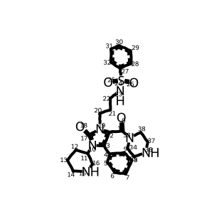 O=C(c1c(-c2ccccc2)n(C2CCCNC2)c(=O)n1CCCNS(=O)(=O)c1ccccc1)N1CCNCC1